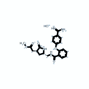 COC(=O)C[C@@H]1C[C@@H](CNC(=O)c2ccccc2Oc2ccc(C(=N)N)cc2)NC1=O.Cl